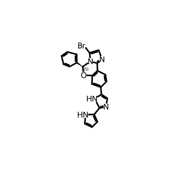 Brc1cnc2n1[C@H](c1ccccc1)Oc1cc(-c3cnc(-c4ccc[nH]4)[nH]3)ccc1-2